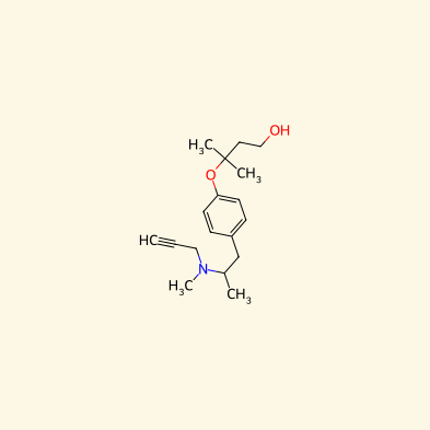 C#CCN(C)C(C)Cc1ccc(OC(C)(C)CCO)cc1